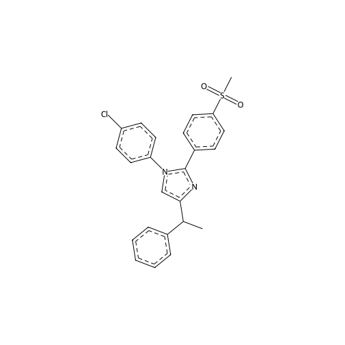 CC(c1ccccc1)c1cn(-c2ccc(Cl)cc2)c(-c2ccc(S(C)(=O)=O)cc2)n1